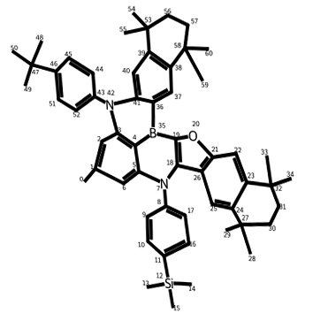 Cc1cc2c3c(c1)N(c1ccc([Si](C)(C)C)cc1)c1c(oc4cc5c(cc14)C(C)(C)CCC5(C)C)B3c1cc3c(cc1N2c1ccc(C(C)(C)C)cc1)C(C)(C)CCC3(C)C